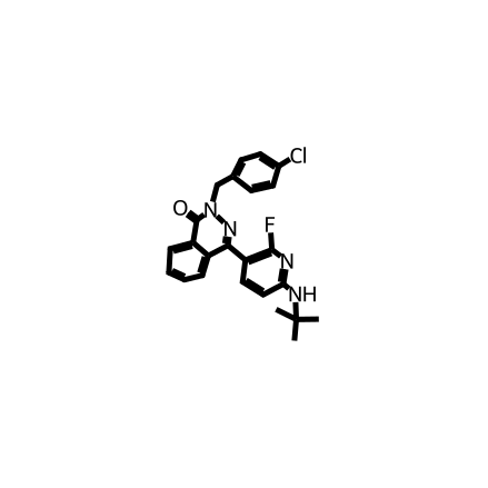 CC(C)(C)Nc1ccc(-c2nn(Cc3ccc(Cl)cc3)c(=O)c3ccccc23)c(F)n1